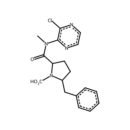 CN(C(=O)C1CCC(Cc2ccccc2)N1C(=O)O)c1nccnc1Cl